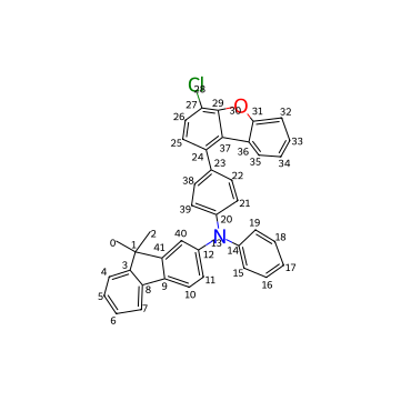 CC1(C)c2ccccc2-c2ccc(N(c3ccccc3)c3ccc(-c4ccc(Cl)c5oc6ccccc6c45)cc3)cc21